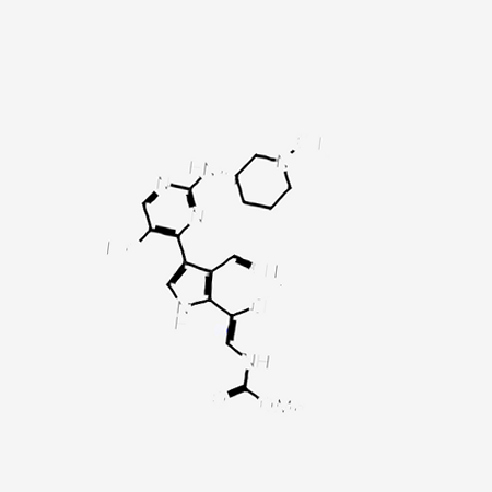 C=Cc1c(-c2nc(N[C@H]3CCCN(C)C3)ncc2C(F)(F)F)c[nH]c1/C(Cl)=C/NC(=O)OC